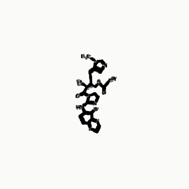 CCCC(=O)OC[C@H](Cc1cncn1C)[C@H](CC)C(=O)N1CCN=C1Nc1ccc2nccnc2c1Br